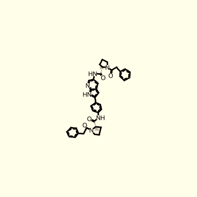 O=C(Nc1ccc(-c2cc3cc(NC(=O)[C@@H]4CCCN4C(=O)Cc4ccccc4)cnc3[nH]2)cc1)[C@@H]1CCCN1C(=O)Cc1ccccc1